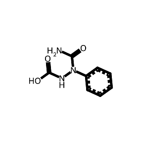 NC(=O)N(NC(=O)O)c1ccccc1